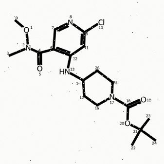 CON(C)C(=O)c1cnc(Cl)cc1NC1CCN(C(=O)OC(C)(C)C)CC1